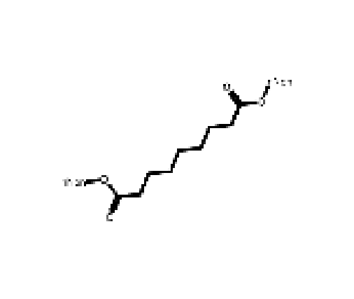 CCCCCCCCCOC(=O)CCCCCCCC(=O)OCCCCCCCCC